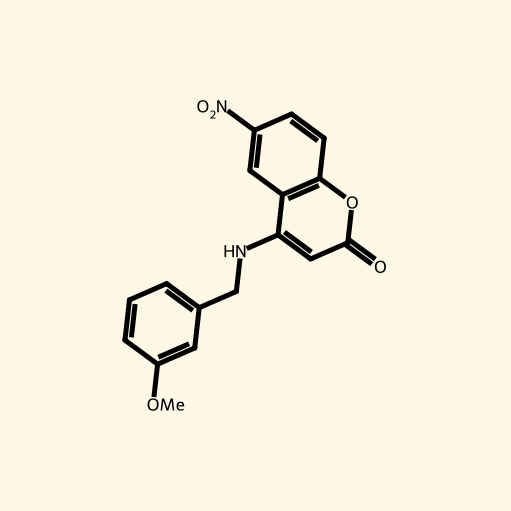 COc1cccc(CNc2cc(=O)oc3ccc([N+](=O)[O-])cc23)c1